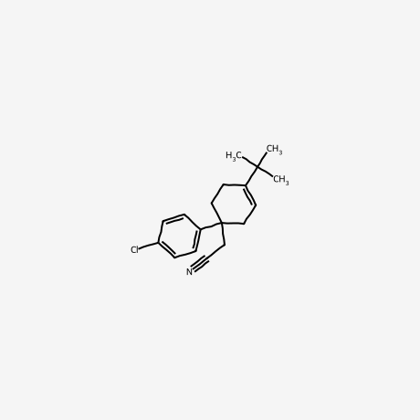 CC(C)(C)C1=CCC(CC#N)(c2ccc(Cl)cc2)CC1